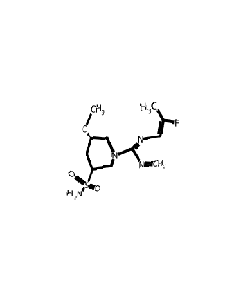 C=N/C(=N\C=C(/C)F)N1CC(S(N)(=O)=O)C[C@@H](OC)C1